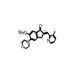 COc1cc2c(cc1N1CCOCC1)C/C(=C\c1ncccc1C)C2=O